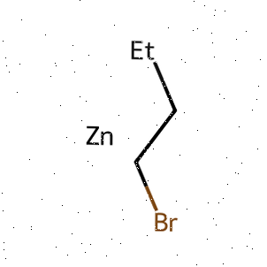 CCCCBr.[Zn]